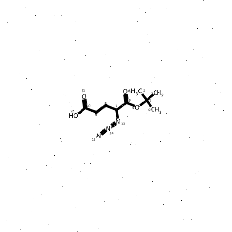 CC(C)(C)OC(=O)C(CCC(=O)O)N=[N+]=[N-]